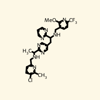 COc1nc(C(F)(F)F)ccc1CNC(Cc1cnc(C(C)NCc2ccc(Cl)c(C)n2)nc1)c1ncccn1